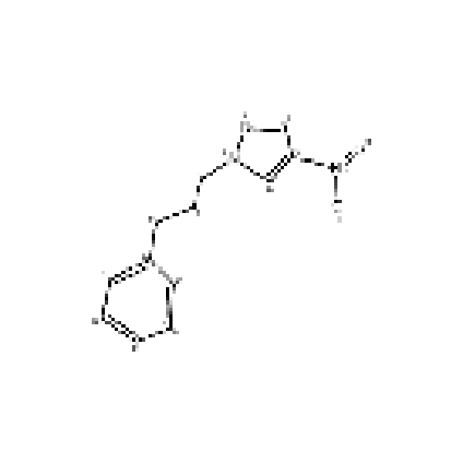 O=[N+]([O-])c1cnn(CCCc2ccccc2)c1